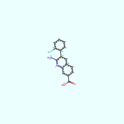 Nc1nc2cc(C(=O)O)ccc2cc1-c1ccccc1F